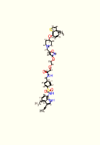 C#Cc1c[nH]c2c(NS(=O)(=O)c3ccc(CNC(=O)COCCOc4cc(CN5CCC(OC(/C=C\C)=c6\sccc6=C)CC5)on4)cc3)ccc(C)c12